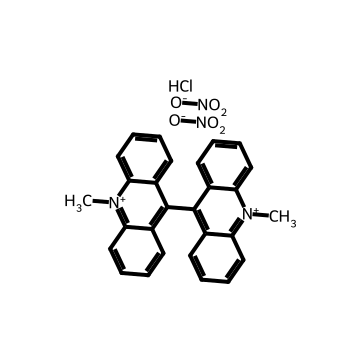 C[n+]1c2ccccc2c(-c2c3ccccc3[n+](C)c3ccccc23)c2ccccc21.Cl.O=[N+]([O-])[O-].O=[N+]([O-])[O-]